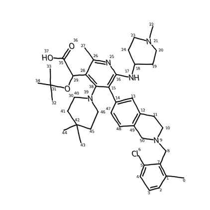 Cc1cccc(Cl)c1CN1CCc2cc(-c3c(NC4CCN(C)CC4)nc(C)c(C(OC(C)(C)C)C(=O)O)c3N3CCC(C)(C)CC3)ccc2C1